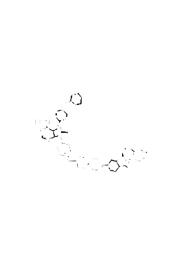 Nc1ncnc2c1n(-c1ccc(Oc3ccccc3)cc1)c(=O)n2C1CCN(CC2CCC3(CC2)CCN(c2ccc4c(c2)C(=O)N(C2CCC(=O)NC2=O)C4=O)CC3)CC1